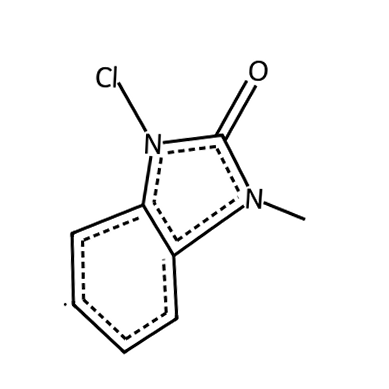 Cn1c(=O)n(Cl)c2c[c]ccc21